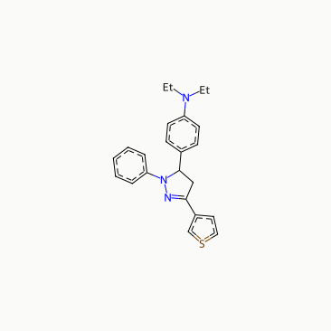 CCN(CC)c1ccc(C2CC(c3ccsc3)=NN2c2ccccc2)cc1